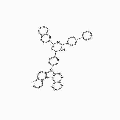 c1ccc(-c2ccc(C3=NC(c4ccc5ccccc5c4)=NC(c4ccc(-n5c6ccc7ccccc7c6c6c7ccccc7ccc65)cc4)N3)cc2)cc1